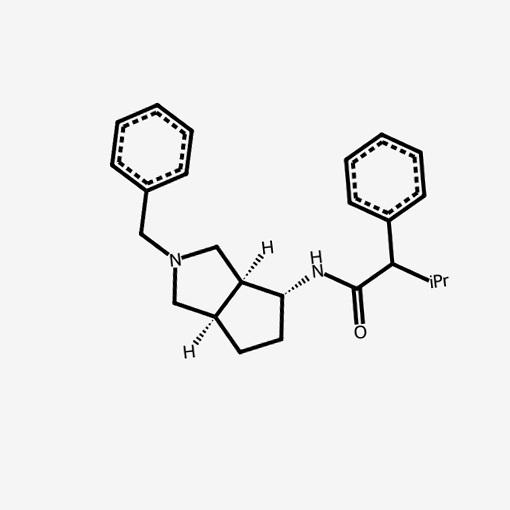 CC(C)C(C(=O)N[C@@H]1CC[C@H]2CN(Cc3ccccc3)C[C@H]21)c1ccccc1